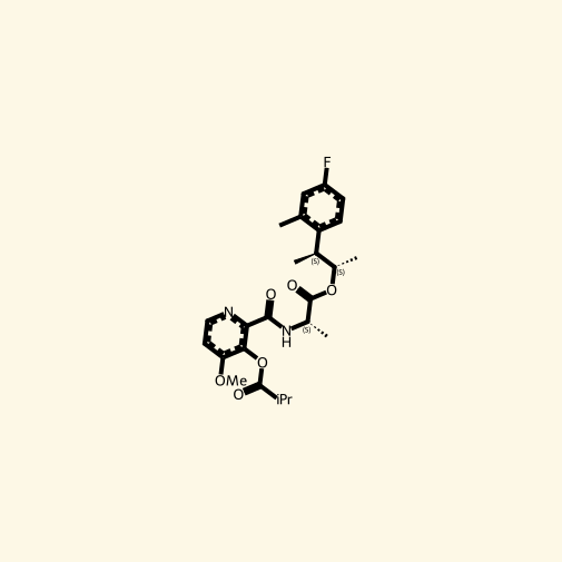 COc1ccnc(C(=O)N[C@@H](C)C(=O)O[C@@H](C)[C@@H](C)c2ccc(F)cc2C)c1OC(=O)C(C)C